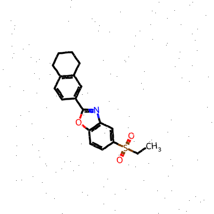 CCS(=O)(=O)c1ccc2oc(-c3ccc4c(c3)CCCC4)nc2c1